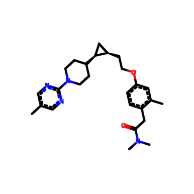 Cc1cnc(N2CCC([C@H]3C[C@H]3CCOc3ccc(CC(=O)N(C)C)c(C)c3)CC2)nc1